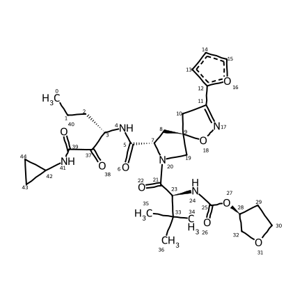 CCC[C@H](NC(=O)[C@@H]1C[C@]2(CC(c3ccco3)=NO2)CN1C(=O)[C@@H](NC(=O)O[C@H]1CCOC1)C(C)(C)C)C(=O)C(=O)NC1CC1